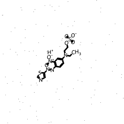 CCN(CCOS(=O)(=O)[O-])c1ccc(N=Nc2cncs2)c([N+](=O)[O-])c1.[H+]